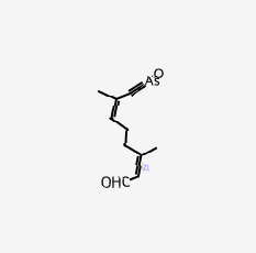 CC(C#[As]=O)=CCC/C(C)=C\C=O